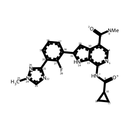 CNC(=O)c1cnc(NC(=O)C2CC2)c2[nH]c(-c3cccc(-c4ncn(C)n4)c3F)cc12